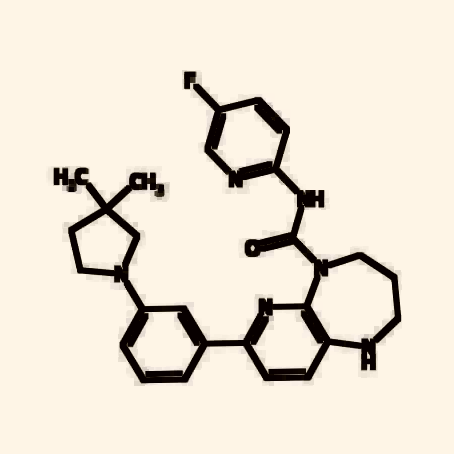 CC1(C)CCN(c2cccc(-c3ccc4c(n3)N(C(=O)Nc3ccc(F)cn3)CCCN4)c2)C1